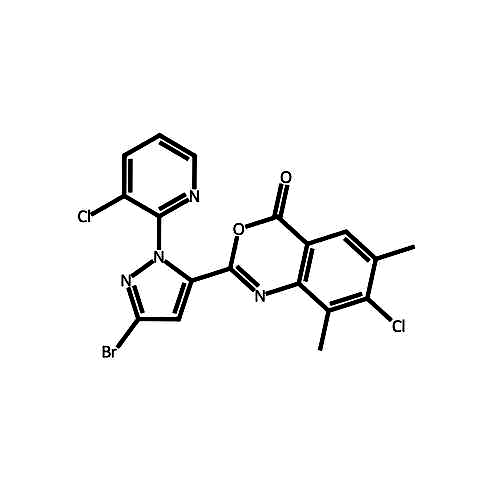 Cc1cc2c(=O)oc(-c3cc(Br)nn3-c3ncccc3Cl)nc2c(C)c1Cl